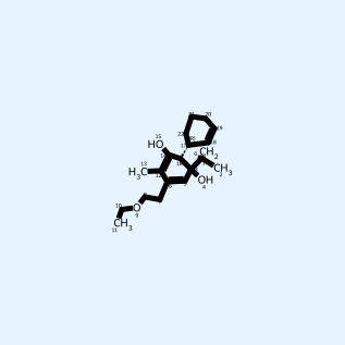 C=C(C)C1(O)C=C(CCOCC)C(C)=C(O)C1[C@H]1C=CCCC1